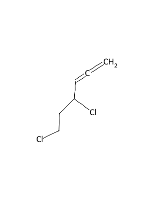 C=C=CC(Cl)CCCl